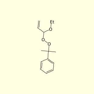 C=CC(OCC)OOC(C)(C)c1ccccc1